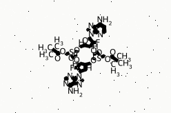 CC(C)(C)C(=O)OCSP1(=O)OC[C@H]2O[C@@H](n3cnc4c(N)ccnc43)C(F)[C@H]2OP(=O)(SCOC(=O)C(C)(C)C)OC[C@H]2C[C@@H](n3cnc4c(N)ncnc43)C(F)[C@H]2O1